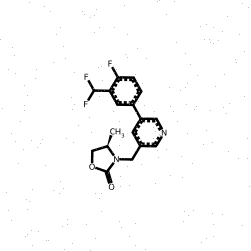 C[C@@H]1COC(=O)N1Cc1cncc(-c2ccc(F)c(C(F)F)c2)c1